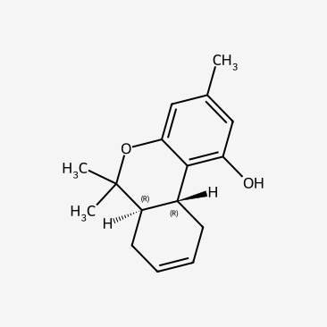 Cc1cc(O)c2c(c1)OC(C)(C)[C@@H]1CC=CC[C@@H]21